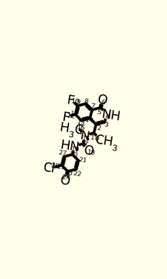 CC(c1c[nH]c(=O)c2cc(F)c(F)cc12)N(C)C(=O)NC1C=CC(=O)C(Cl)=C1